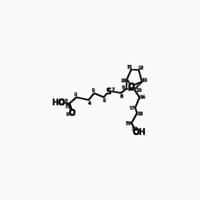 O=C(O)CCCCSCC1C2CCC(O2)C1CCCCO